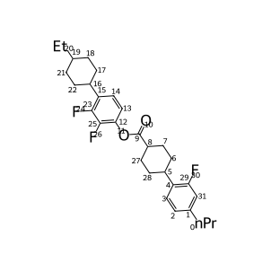 CCCc1ccc(C2CCC(C(=O)Oc3ccc(C4CCC(CC)CC4)c(F)c3F)CC2)c(F)c1